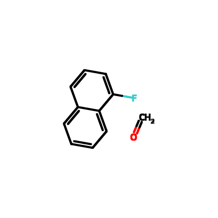 C=O.Fc1cccc2ccccc12